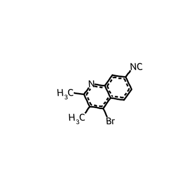 [C-]#[N+]c1ccc2c(Br)c(C)c(C)nc2c1